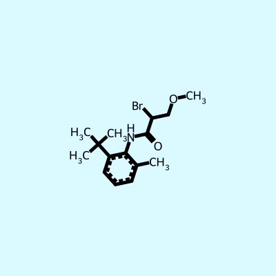 COCC(Br)C(=O)Nc1c(C)cccc1C(C)(C)C